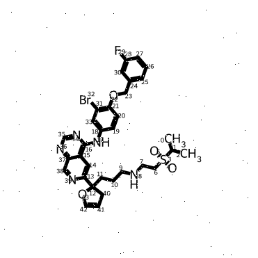 CC(C)S(=O)(=O)CCNCCCC1(c2cc3c(Nc4ccc(OCc5cccc(F)c5)c(Br)c4)ncnc3cn2)CC=CO1